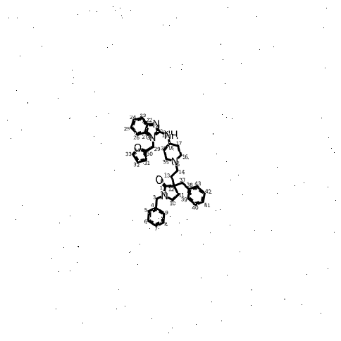 O=C1N(Cc2ccccc2)CCC1(CCN1CCC(Nc2nc3ccccc3n2Cc2ccco2)CC1)Cc1ccccc1